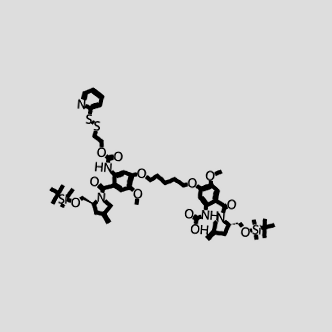 C=C1C[C@@H](CO[Si](C)(C)C(C)(C)C)N(C(=O)c2cc(OC)c(OCCCCCOc3cc(NC(=O)OCCSSc4ccccn4)c(C(=O)N4CC(=C)C[C@H]4CO[Si](C)(C)C(C)(C)C)cc3OC)cc2NC(=O)O)C1